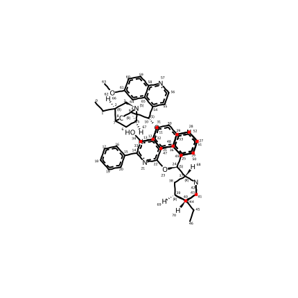 CC[C@H]1C[N@@]2CCC1C[C@@H]2[C@@H](Oc1nc(-c2ccccc2)nc(O[C@@H](c2ccnc3ccc(CO)cc23)[C@H]2C[C@H]3CCN2C[C@@H]3CC)c1-c1ccccc1)c1ccnc2ccc(OC)cc12